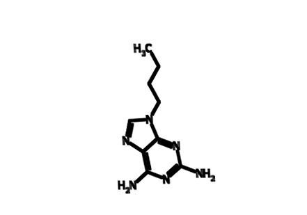 CCCCn1cnc2c(N)nc(N)nc21